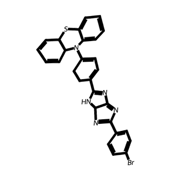 Brc1ccc(C2=NC3NC(C4=CC=C(N5c6ccccc6SC6C=CC=CC65)CC4)=NC3=N2)cc1